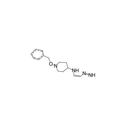 N=N/C=C\NC1CCN(OCc2ccccc2)CC1